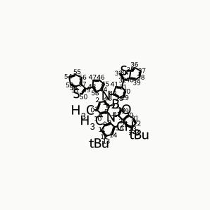 Cc1cc2c3c(c1)N(c1c(C)cc(C(C)(C)C)cc1C)c1c(oc4ccc(C(C)(C)C)cc14)B3c1ccc(-c3csc4ccccc34)cc1N2c1cccc(-c2csc3ccccc23)c1